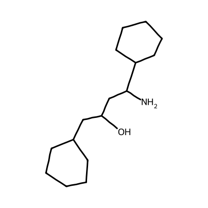 NC(CC(O)CC1CCCCC1)C1CCCCC1